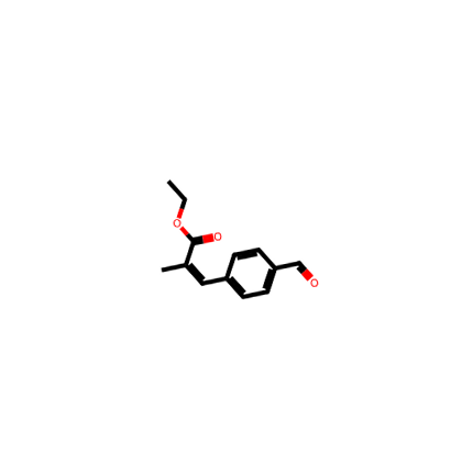 CCOC(=O)C(C)=Cc1ccc(C=O)cc1